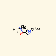 CN(C)C(=O)c1cnn(C(C)(C)C)c1C#N